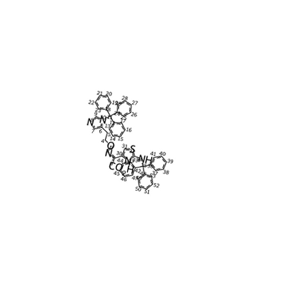 O=C(O)C(=NOCCc1cncn1C(c1ccccc1)(c1ccccc1)c1ccccc1)c1csc(NC(c2ccccc2)(c2ccccc2)c2ccccc2)n1